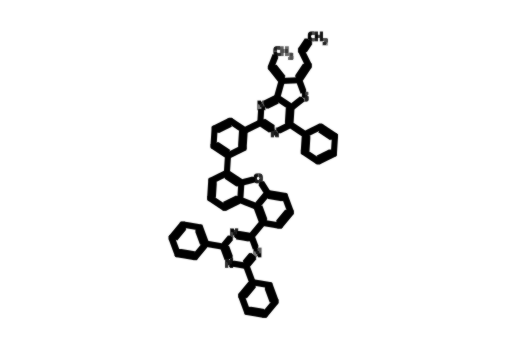 C=C/C=c1/sc2c(-c3ccccc3)nc(-c3cccc(-c4cccc5c4oc4cccc(-c6nc(-c7ccccc7)nc(-c7ccccc7)n6)c45)c3)nc2/c1=C/C